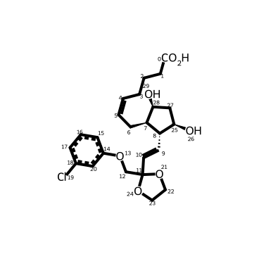 O=C(O)CCC/C=C\C[C@@H]1[C@@H](/C=C/C2(COc3cccc(Cl)c3)OCCO2)[C@H](O)C[C@@H]1O